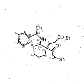 CCOC(=O)CC[C@@]1(C(=O)OC(C)C)CCCC[C@H]1NC(C)c1ccccc1